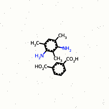 Cc1cc(C)c(N)c(C)c1N.O=C(O)c1cccc(C(=O)O)c1